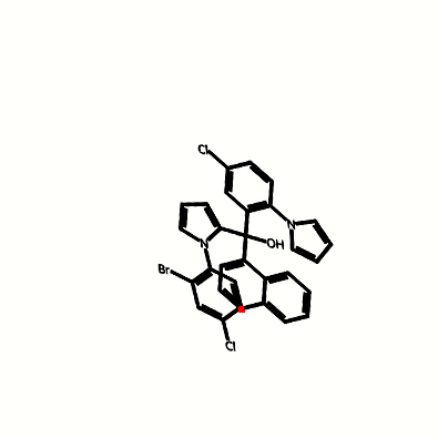 OC(c1cc(Cl)ccc1-n1cccc1)(c1cccc2ccccc12)c1cccn1-c1ccc(Cl)cc1Br